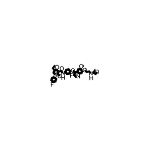 COc1cc2c(Oc3ccc(NC(=O)c4c5c(cn(-c6ccc(F)cc6)c4=O)CCO5)cc3F)ccnc2cc1OCCNC1COC1